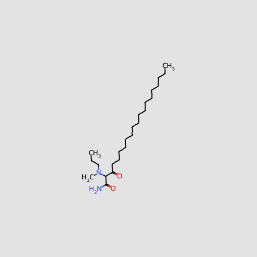 CCCCCCCCCCCCCCCCCC(=O)C(C(N)=O)N(C)CCC